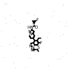 CCc1c(F)c(SC(C)C#N)c2[nH]ncc2c1-c1ccn2nc(NC(=O)[C@@H]3C[C@@H]3F)cc2c1